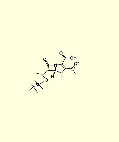 C[C@@H](O[Si](C)(C)C(C)(C)C)[C@H]1C(=O)N2C(C(=O)O)=C([S+](C)[O-])[C@H](C)[C@H]12